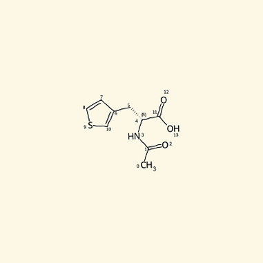 CC(=O)N[C@H](Cc1ccsc1)C(=O)O